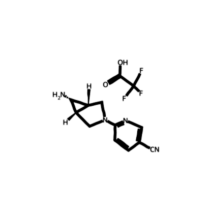 N#Cc1ccc(N2C[C@@H]3[C@H](N)[C@@H]3C2)nc1.O=C(O)C(F)(F)F